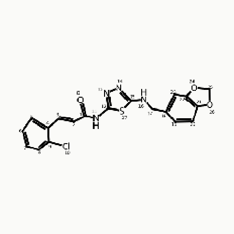 O=C(C=Cc1ccccc1Cl)Nc1nnc(NCc2ccc3c(c2)OCO3)s1